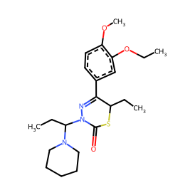 CCOc1cc(C2=NN(C(CC)N3CCCCC3)C(=O)SC2CC)ccc1OC